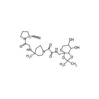 CC1(NCC(=O)N2CCC[C@H]2C#N)CCN(C(=O)C(=O)NCC23OCC(O)C(O)C2OC(C)(C)O3)CC1